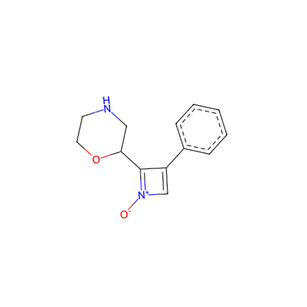 [O-][N+]1=C(C2CNCCO2)C(c2ccccc2)=C1